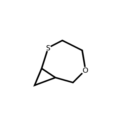 C1CSC2CC2CO1